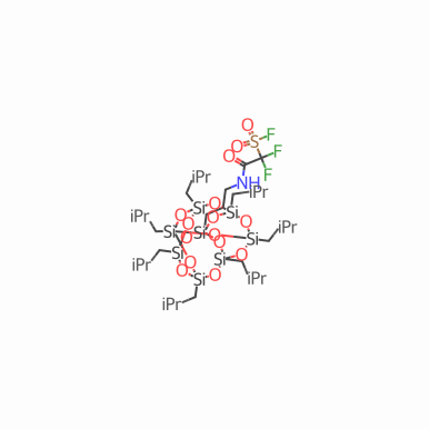 CC(C)C[Si]12O[Si]3(CCCNC(=O)C(F)(F)S(=O)(=O)F)O[Si]4(CC(C)C)O[Si](CC(C)C)(O1)O[Si]1(CC(C)C)O[Si](CC(C)C)(O2)O[Si](CC(C)C)(O3)O[Si](CC(C)C)(O4)O1